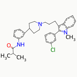 CC(C)C(=O)Nc1cccc(C2CCN(CCCc3c(-c4cccc(Cl)c4)n(C)c4ccccc34)CC2)c1